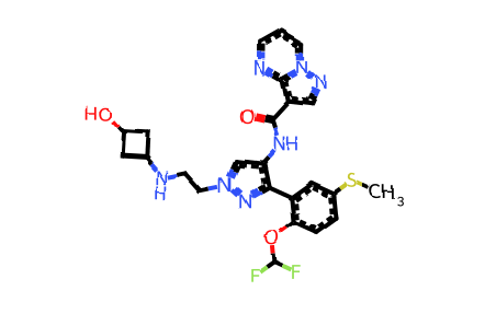 CSc1ccc(OC(F)F)c(-c2nn(CCNC3CC(O)C3)cc2NC(=O)c2cnn3cccnc23)c1